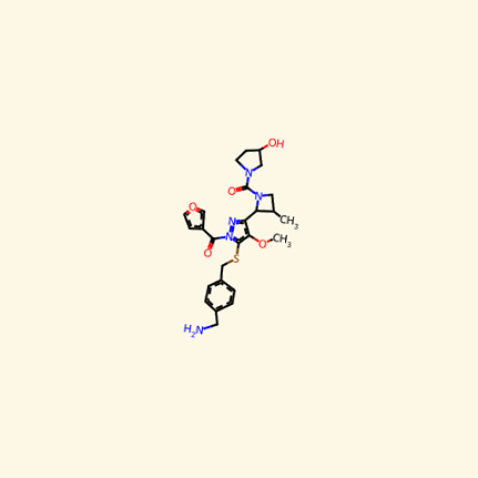 COc1c(C2C(C)CN2C(=O)N2CCC(O)C2)nn(C(=O)c2ccoc2)c1SCc1ccc(CN)cc1